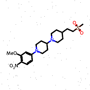 COc1cc(N2CCC(N3CCC(CCS(C)(=O)=O)CC3)CC2)ccc1[N+](=O)[O-]